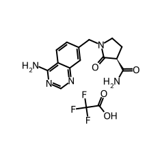 NC(=O)[C@@H]1CCN(Cc2ccc3c(N)ncnc3c2)C1=O.O=C(O)C(F)(F)F